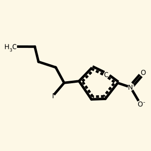 CCCCC(I)c1ccc([N+](=O)[O-])cc1